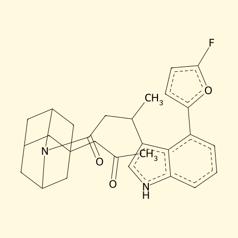 CC(=O)CC12CC3CC(C1)N(C(=O)CC(C)c1c[nH]c4cccc(-c5ccc(F)o5)c14)C(C3)C2